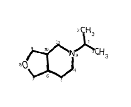 CC(C)N1CCC2COCC2C1